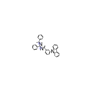 C=C(/N=C(\N=C(/C)c1ccccc1)c1ccccc1)c1cccc(-n2c3ccccc3c3ccccc32)c1